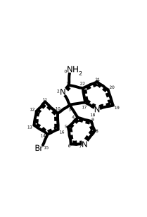 NC1=NC(c2ccncc2)(c2cccc(Br)c2)c2ncccc21